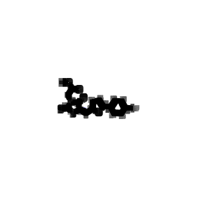 O=C(O)CN1C(=O)/C(=C\c2ccc(-c3ccc(I)cc3)o2)SC1=S